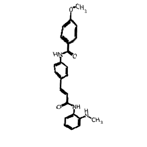 CNc1ccccc1NC(=O)/C=C/c1ccc(NC(=O)c2ccc(OC)cc2)cc1